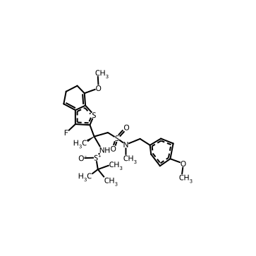 COC1=c2sc([C@](C)(CS(=O)(=O)N(C)Cc3ccc(OC)cc3)N[S+]([O-])C(C)(C)C)c(F)c2=CCC1